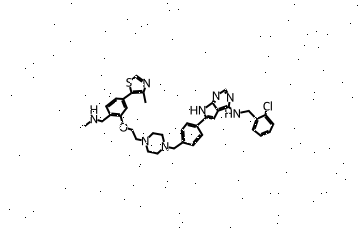 CNCc1ccc(-c2scnc2C)cc1OCCN1CCN(Cc2ccc(-c3cc4c(NCc5ccccc5Cl)ncnc4[nH]3)cc2)CC1